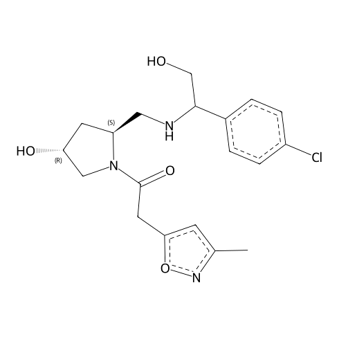 Cc1cc(CC(=O)N2C[C@H](O)C[C@H]2CNC(CO)c2ccc(Cl)cc2)on1